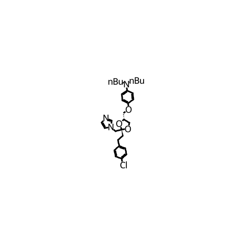 CCCCN(CCCC)c1ccc(OC[C@@H]2CO[C@](CCc3ccc(Cl)cc3)(Cn3ccnc3)O2)cc1